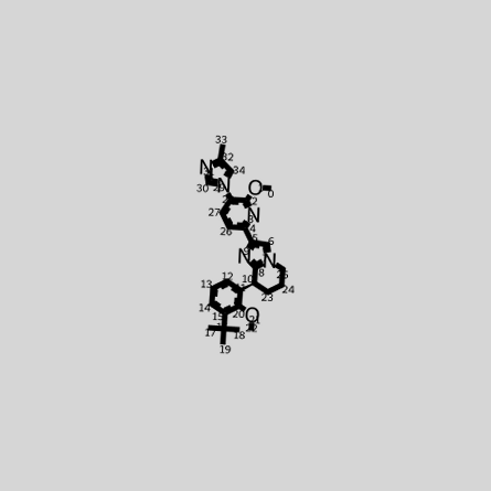 COc1nc(-c2cn3c(n2)[C@H](c2cccc(C(C)(C)C)c2OC)CCC3)ccc1-n1cnc(C)c1